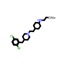 COCCNC1CCC(CCN2CCC(Cc3cc(Cl)ccc3Br)CC2)CC1